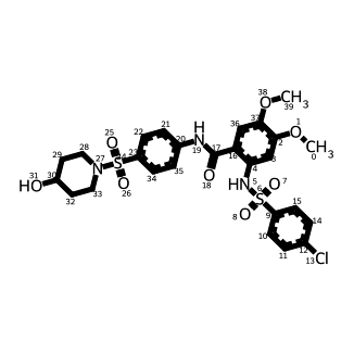 COc1cc(NS(=O)(=O)c2ccc(Cl)cc2)c(C(=O)Nc2ccc(S(=O)(=O)N3CCC(O)CC3)cc2)cc1OC